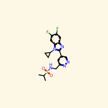 CC(C)S(=O)(=O)NCc1cc(-c2nc3cc(F)c(F)cc3n2C2CC2)cnn1